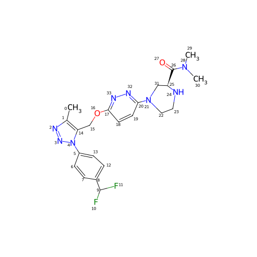 Cc1nnn(-c2ccc(C(F)F)cc2)c1COc1ccc(N2CCN[C@H](C(=O)N(C)C)C2)nn1